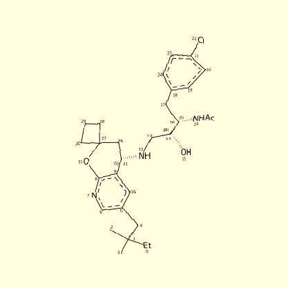 CCC(C)(C)Cc1cnc2c(c1)[C@@H](NC[C@@H](O)[C@H](Cc1ccc(Cl)cc1)NC(C)=O)CC1(CCC1)O2